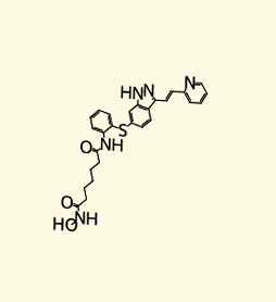 O=C(CCCCCC(=O)Nc1ccccc1Sc1ccc2c(/C=C/c3ccccn3)n[nH]c2c1)NO